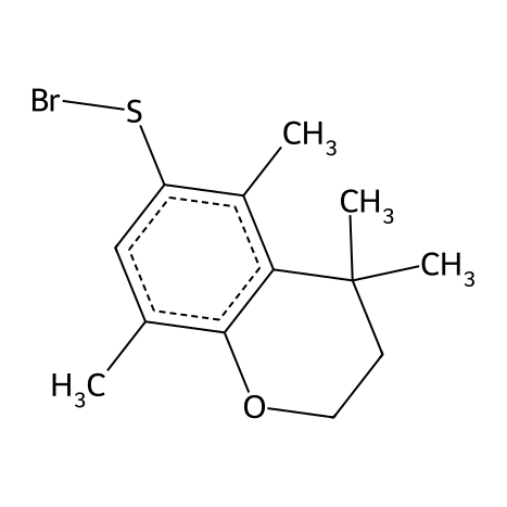 Cc1cc(SBr)c(C)c2c1OCCC2(C)C